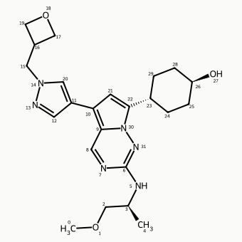 COC[C@H](C)Nc1ncc2c(-c3cnn(CC4COC4)c3)cc([C@H]3CC[C@H](O)CC3)n2n1